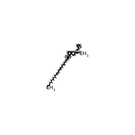 CCCCCCCCCCCCCCCCCCCCCCCC(=O)Oc1cccc2c1CCC(N(CCC)CCc1cccs1)C2